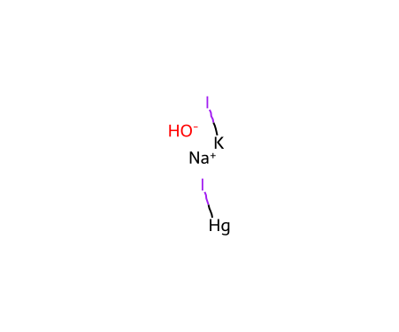 [I][Hg].[K][I].[Na+].[OH-]